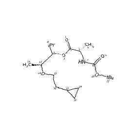 CC(C)C(OC(=O)[C@H](C)NC(=O)OC(C)(C)C)[C@H](C)OCCC1CC1